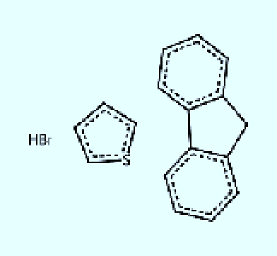 Br.c1ccc2c(c1)Cc1ccccc1-2.c1ccsc1